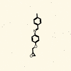 Cc1ccc(C=Nc2ccc(OCC3CO3)cc2)cc1